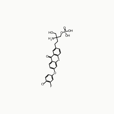 NC(CO)(CCc1ccc2sc3cc(Oc4ccc(Cl)c(F)c4)ccc3c(=O)c2c1)COP(=O)(O)O